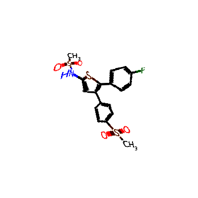 CS(=O)(=O)Nc1cc(-c2ccc(S(C)(=O)=O)cc2)c(-c2ccc(F)cc2)s1